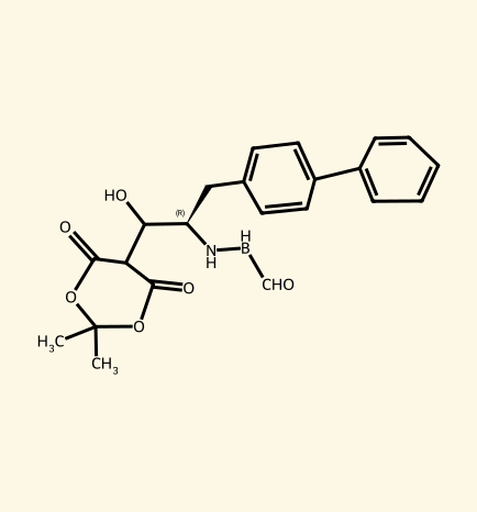 CC1(C)OC(=O)C(C(O)[C@@H](Cc2ccc(-c3ccccc3)cc2)NBC=O)C(=O)O1